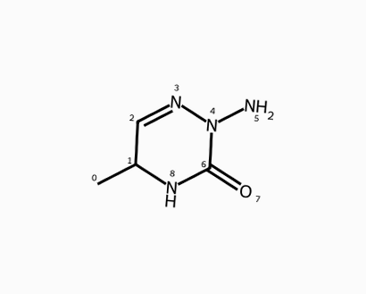 CC1C=NN(N)C(=O)N1